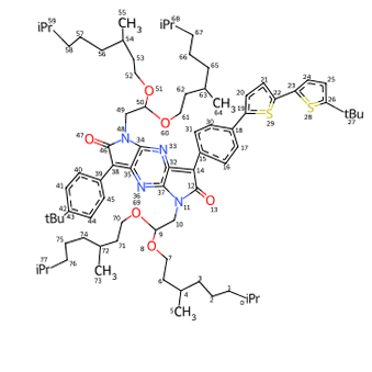 CC(C)CCCC(C)CCOC(CN1C(=O)C(c2ccc(-c3ccc(-c4ccc(C(C)(C)C)s4)s3)cc2)=c2nc3c(nc21)=C(c1ccc(C(C)(C)C)cc1)C(=O)N3CC(OCCC(C)CCCC(C)C)OCCC(C)CCCC(C)C)OCCC(C)CCCC(C)C